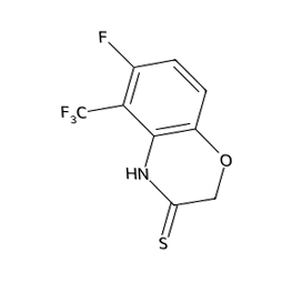 Fc1ccc2c(c1C(F)(F)F)NC(=S)CO2